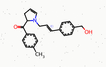 Cc1ccc(C(=O)C2CC=CN2C/C=C/c2ccc(CO)cc2)cc1